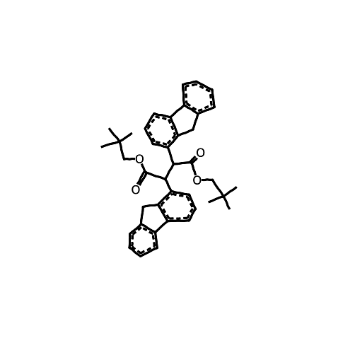 CC(C)(C)COC(=O)C(c1cccc2c1Cc1ccccc1-2)C(C(=O)OCC(C)(C)C)c1cccc2c1Cc1ccccc1-2